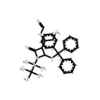 CCC(OC=O)C1C(=O)N([Si](C)(C)C(C)(C)C)C1SC(c1ccccc1)(c1ccccc1)c1ccccc1